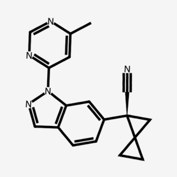 Cc1cc(-n2ncc3ccc([C@]4(C#N)CC45CC5)cc32)ncn1